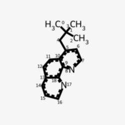 CC(C)(C)Cc1ccnc2c1ccc1cccnc12